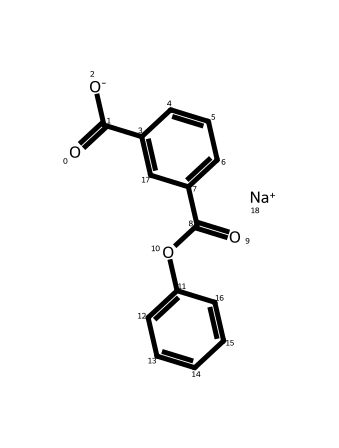 O=C([O-])c1cccc(C(=O)Oc2ccccc2)c1.[Na+]